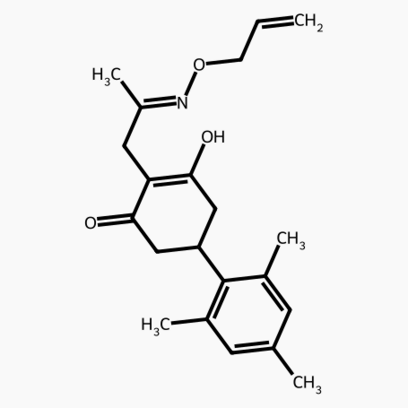 C=CCON=C(C)CC1=C(O)CC(c2c(C)cc(C)cc2C)CC1=O